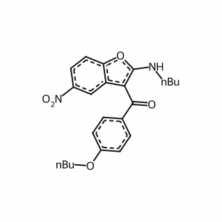 CCCCNc1oc2ccc([N+](=O)[O-])cc2c1C(=O)c1ccc(OCCCC)cc1